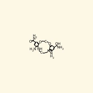 NC(=O)c1cc(N)c2c(c1)OCCCOc1cc(C(N)O)cc(N)c1NCCCCN2